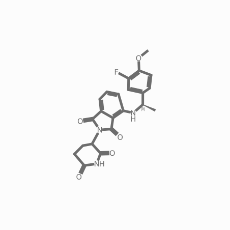 COc1ccc([C@@H](C)Nc2cccc3c2C(=O)N(C2CCC(=O)NC2=O)C3=O)cc1F